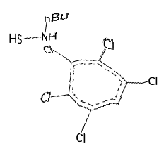 CCCCNS.Clc1cc(Cl)c(Cl)c(Cl)c1Cl